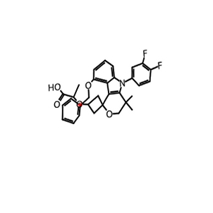 CC(OC1CC2(C1)OCC(C)(C)c1c2c2c(OCc3ccccc3)cccc2n1-c1ccc(F)c(F)c1)C(=O)O